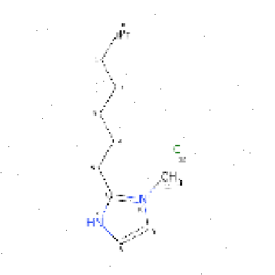 CC(C)CCCCCc1[nH]cc[n+]1C.[Cl-]